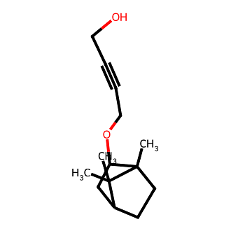 CC1(C)C2CCC1(C)C(OCC#CCO)C2